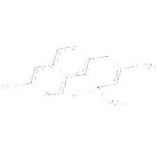 COC1=CC(O)(OC)c2c(ccc3cc(O)ccc23)C1